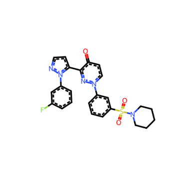 O=c1ccn(-c2cccc(S(=O)(=O)N3CCCCC3)c2)nc1-c1ccnn1-c1cccc(F)c1